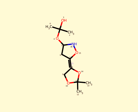 CC(C)(O)OC1C/C(=C2\COC(C)(C)O2)ON1